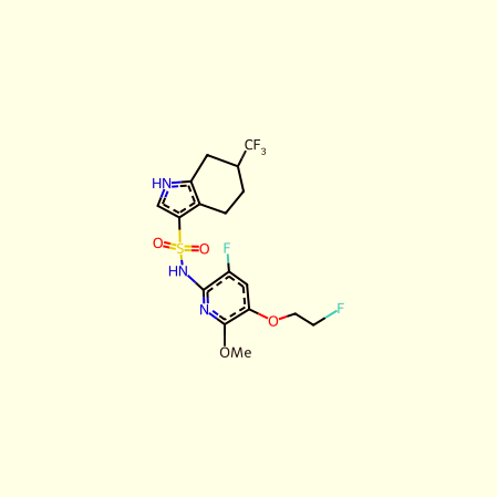 COc1nc(NS(=O)(=O)c2c[nH]c3c2CCC(C(F)(F)F)C3)c(F)cc1OCCF